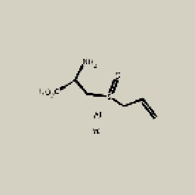 C=CCS(=O)C[C@H](N)C(=O)O.[Al].[In]